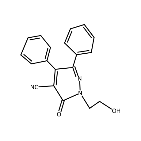 N#Cc1c(-c2ccccc2)c(-c2ccccc2)nn(CCO)c1=O